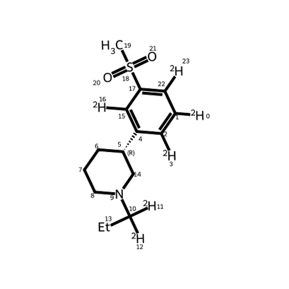 [2H]c1c([2H])c([C@H]2CCCN(C([2H])([2H])CC)C2)c([2H])c(S(C)(=O)=O)c1[2H]